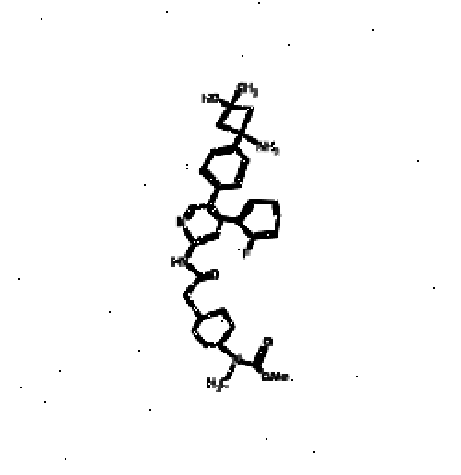 COC(=O)N(C)C1CCC(CC(=O)Nc2cc(-c3ccccc3F)c(-c3ccc([C@]4(N)C[C@](C)(O)C4)cc3)cn2)CC1